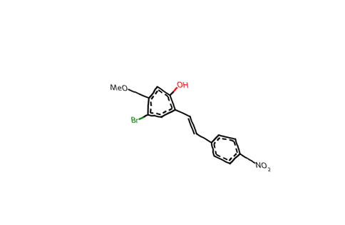 COc1cc(O)c(C=Cc2ccc([N+](=O)[O-])cc2)cc1Br